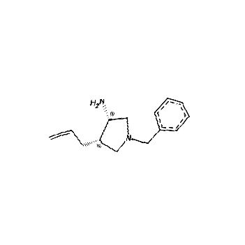 C=CC[C@H]1CN(Cc2ccccc2)C[C@H]1N